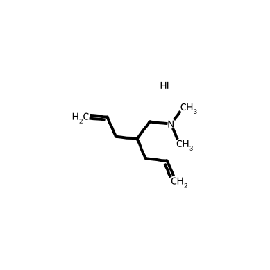 C=CCC(CC=C)CN(C)C.I